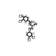 N#CC(N=Nc1ccc(Cl)c(Cl)c1)=NNc1ccc(Cl)c(Cl)c1